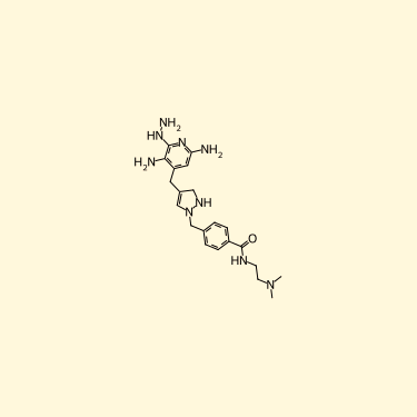 CN(C)CCNC(=O)c1ccc(CN2C=C(Cc3cc(N)nc(NN)c3N)CN2)cc1